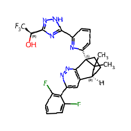 CC1(C)[C@H]2CC[C@]1(c1cccc(-c3nc([C@@H](O)C(F)(F)F)n[nH]3)n1)c1nnc(-c3c(F)cccc3F)cc12